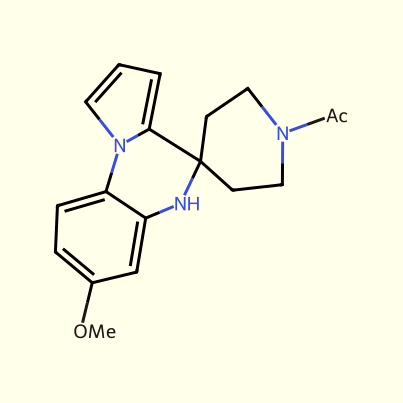 COc1ccc2c(c1)NC1(CCN(C(C)=O)CC1)c1cccn1-2